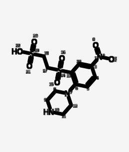 O=[N+]([O-])c1ccc(N2CCNCC2)c(S(=O)(=O)CCS(=O)(=O)O)c1